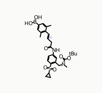 Cc1cc(B(O)O)cc(C)c1/C=C/CC(=O)Nc1ccc(S(=O)(=O)C2CC2)c(CN(C)C(=O)OC(C)(C)C)c1